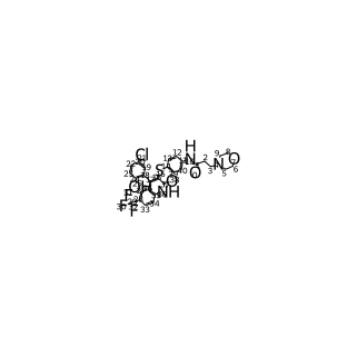 O=C(CCN1CCOCC1)Nc1ccc(Sc2c(-c3cc(Cl)ccc3O)c3cc(C(F)(F)F)ccc3[nH]c2=O)cc1